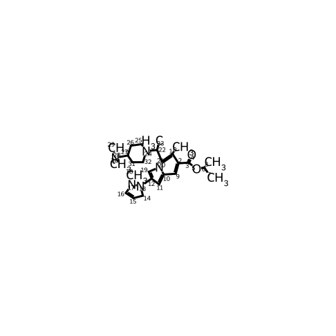 Cc1c(C(=O)OC(C)C)cc2cc(N3CC=CN3C)cn2c1C(C)N1CCC(N(C)C)CC1